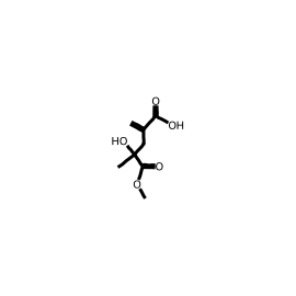 C=C(CC(C)(O)C(=O)OC)C(=O)O